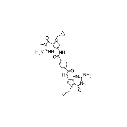 CN(C(=N)N)C(=O)c1cc(NC(=O)C2=CC=C(C(=O)Nc3cc(C(=O)N(C)C(=N)N)n(CC4CC4)c3)CC2)cn1CC1CC1